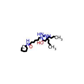 CCCCC1(CCCC)CC(O)N(CCCCCC(=O)NC2CCCCCC2)C(=N)N1